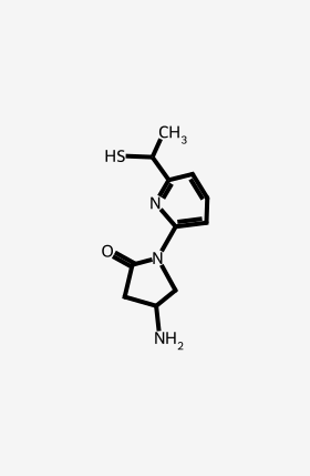 CC(S)c1cccc(N2CC(N)CC2=O)n1